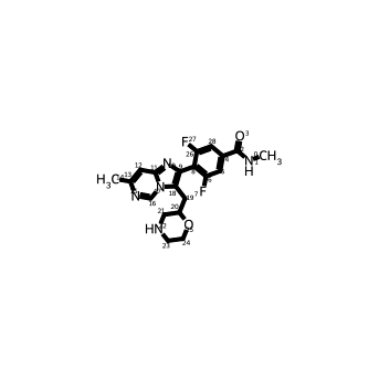 CNC(=O)c1cc(F)c(-c2nc3cc(C)ncn3c2CC2CNCCO2)c(F)c1